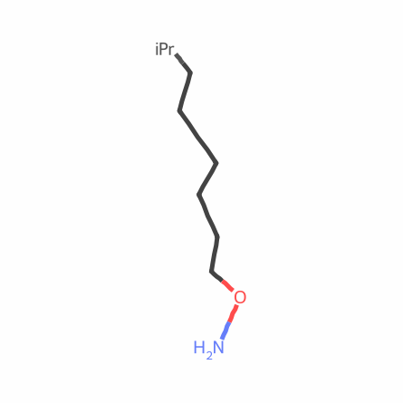 CC(C)CCCCCCON